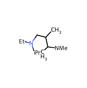 CCN(CC(C)C(C)NC)C(C)C